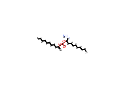 CCCCCCCCCC(C)OC(=O)OC(C)CCCCCCCCC.N